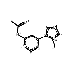 CC(=O)Nc1cc(-c2cncn2C)ccn1